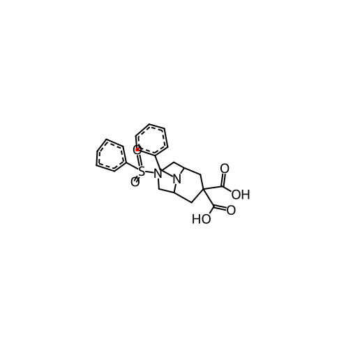 O=C(O)C1(C(=O)O)CC2CN(S(=O)(=O)c3ccccc3)CC(C1)N2Cc1ccccc1